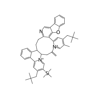 C=C1CC2C(CCc3ncc4c(oc5ccccc54)c3-c3cc(CC(C)(C)C)c(C)c[n+]31)c1ccccc1-c1cc(CC(C)(C)C)c([Si](C)(C)C)c[n+]12